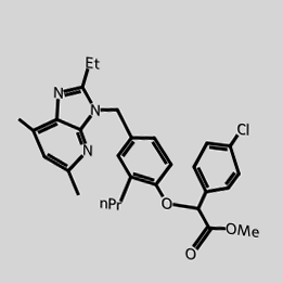 CCCc1cc(Cn2c(CC)nc3c(C)cc(C)nc32)ccc1OC(C(=O)OC)c1ccc(Cl)cc1